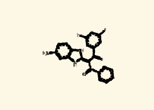 Nc1ccc2c(c1)NC(=C(C(=O)c1ccccc1)C(=O)c1cc(F)cc(F)c1)N2